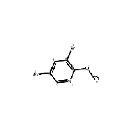 CC(C)Oc1ncc(C(C)C)cc1Br